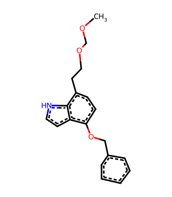 COCOCCc1ccc(OCc2ccccc2)c2cc[nH]c12